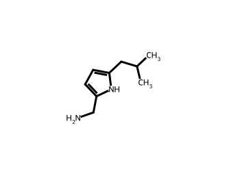 CC(C)Cc1ccc(CN)[nH]1